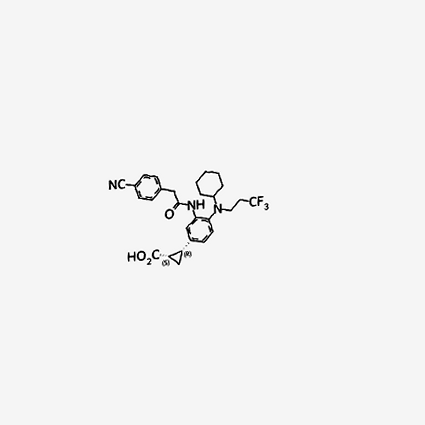 N#Cc1ccc(CC(=O)Nc2cc([C@@H]3C[C@@H]3C(=O)O)ccc2N(CCC(F)(F)F)C2CCCCC2)cc1